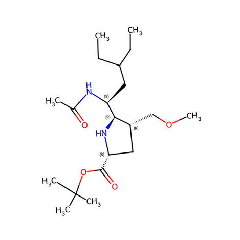 CCC(CC)C[C@H](NC(C)=O)[C@@H]1N[C@@H](C(=O)OC(C)(C)C)C[C@H]1COC